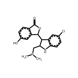 CN(C)CC1Nc2ccc(Cl)cc2C1C1OC(=O)c2ccc(O)cc21